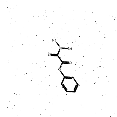 O=C(Oc1ccccc1)C(=O)N(S)S